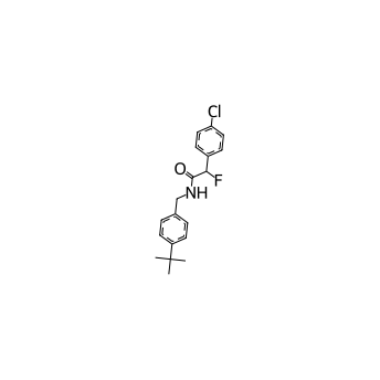 CC(C)(C)c1ccc(CNC(=O)C(F)c2ccc(Cl)cc2)cc1